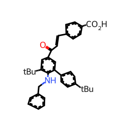 CC(C)(C)c1ccc(-c2cc(C(=O)C=Cc3ccc(C(=O)O)cc3)cc(C(C)(C)C)c2NCc2ccccc2)cc1